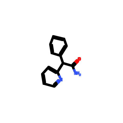 NC(=O)C(c1ccccc1)c1ccccn1